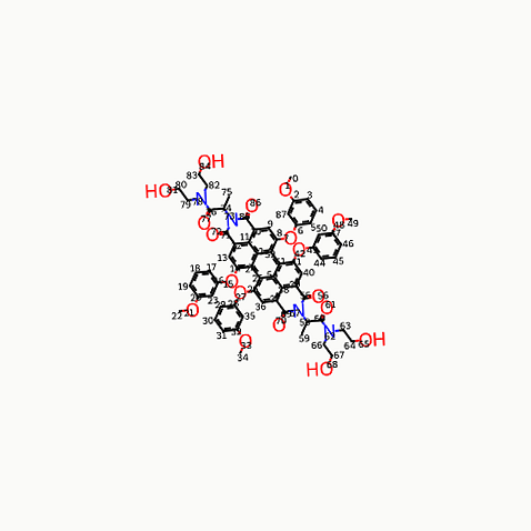 COc1cccc(Oc2cc3c4c(cc(Oc5cccc(OC)c5)c5c6c(Oc7cccc(OC)c7)cc7c8c(cc(Oc9cccc(OC)c9)c(c2c45)c86)C(=O)N(C(C)C(=O)N(CCO)CCO)C7=O)C(=O)N(C(C)C(=O)N(CCO)CCO)C3=O)c1